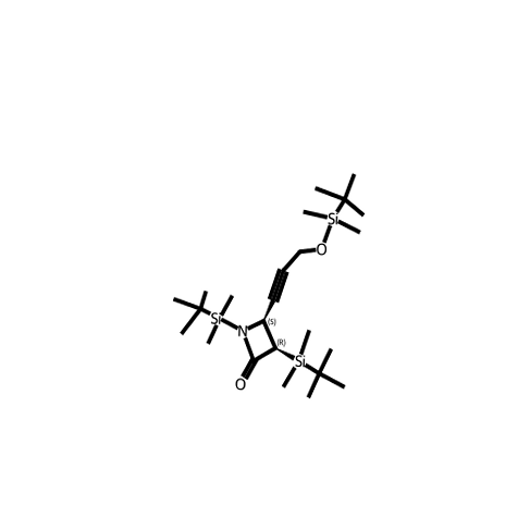 CC(C)(C)[Si](C)(C)OCC#C[C@H]1[C@@H]([Si](C)(C)C(C)(C)C)C(=O)N1[Si](C)(C)C(C)(C)C